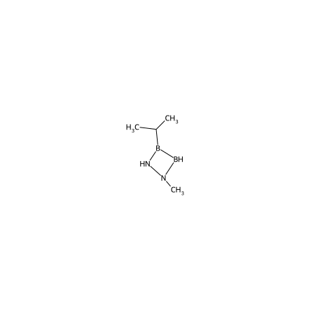 CC(C)B1BN(C)N1